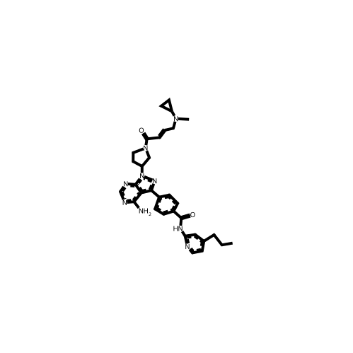 CCCc1ccnc(NC(=O)c2ccc(-c3nn(C4CCN(C(=O)/C=C/CN(C)C5CC5)C4)c4ncnc(N)c34)cc2)c1